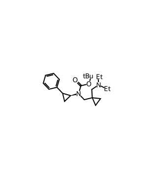 CCN(CC)CC1(CN(C(=O)OC(C)(C)C)[C@H]2CC2c2ccccc2)CC1